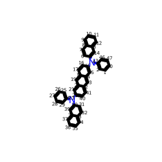 c1ccc(N(c2ccc3ccccc3c2)c2ccc3cc4cc(N(c5ccccc5)c5ccc6ccccc6c5)ccc4cc3c2)cc1